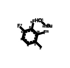 CCCCO.Cc1ccc(F)c(F)c1F